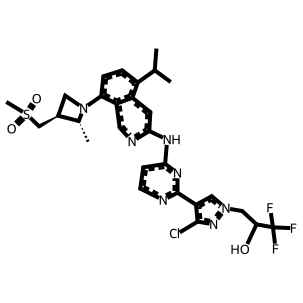 CC(C)c1ccc(N2C[C@H](CS(C)(=O)=O)[C@H]2C)c2cnc(Nc3ccnc(-c4cn(CC(O)C(F)(F)F)nc4Cl)n3)cc12